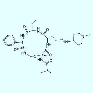 CC[C@@H]1NC(=O)[C@H](CCCNC2CCN(C)CC2)NC(=O)[C@](C)(NC(=O)C(C)C)CCNC(=O)[C@@H](c2ccccc2)NC1=O